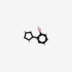 Brc1ccc[c]c1C1CCCC1